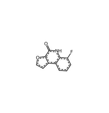 O=c1[nH]c2c(F)cccc2c2ccoc12